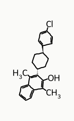 Cc1c(O)c([C@H]2CC[C@H](c3ccc(Cl)cc3)CC2)c(C)c2ccccc12